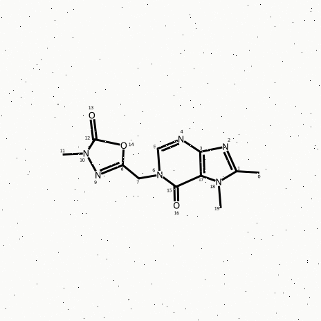 Cc1nc2ncn(Cc3nn(C)c(=O)o3)c(=O)c2n1C